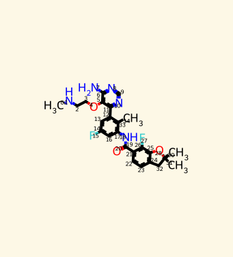 CNCCOc1c(N)ncnc1-c1cc(F)cc(NC(=O)c2ccc3c(c2F)OC(C)(C)C3)c1C